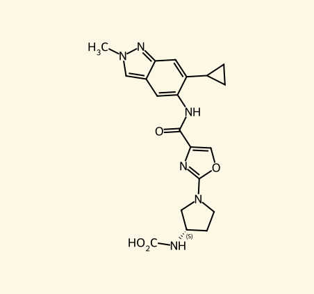 Cn1cc2cc(NC(=O)c3coc(N4CC[C@H](NC(=O)O)C4)n3)c(C3CC3)cc2n1